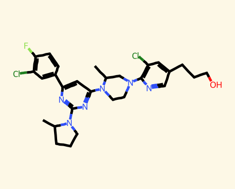 CC1CN(c2ncc(CCCO)cc2Cl)CCN1c1cc(-c2ccc(F)c(Cl)c2)nc(N2CCCC2C)n1